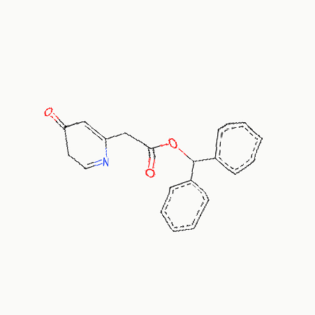 O=C1C=C(CC(=O)OC(c2ccccc2)c2ccccc2)N=CC1